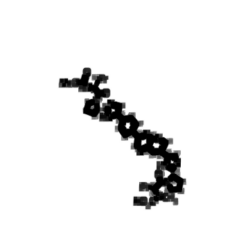 COC(=O)N[C@H](C(=O)N1CCC[C@H]1c1ncc(-c2ccc(-c3cnc4cc(-c5cnc([C@@H]6CCCN6C(=O)[C@H](C(C)C)N(C)C(=O)O)[nH]5)cnc4n3)cc2)[nH]1)C(C)C